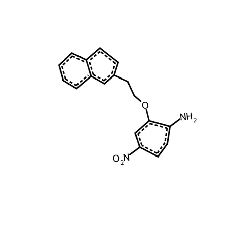 Nc1ccc([N+](=O)[O-])cc1OCCc1ccc2ccccc2c1